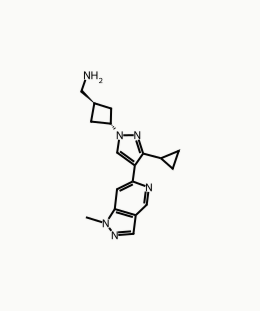 Cn1ncc2cnc(-c3cn([C@H]4C[C@H](CN)C4)nc3C3CC3)cc21